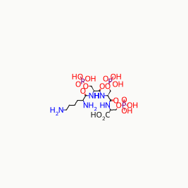 NCCCC[C@H](N)C(=O)N[C@@H](COP(=O)(O)O)C(=O)N[C@@H](COP(=O)(O)O)C(=O)N[C@@H](COP(=O)(O)O)C(=O)O